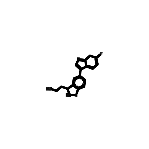 OCCC1NSc2ccc(C3=CN=C4CC(F)=CC=C34)cc21